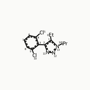 CCc1c(-c2c(Cl)cccc2Cl)nnn1C(C)C